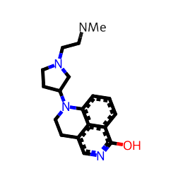 CNCCN1CCC(N2CCc3cnc(O)c4cccc2c34)C1